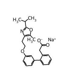 Cc1oc(C(C)C)nc1CCOc1cccc(-c2ccccc2CC(=O)[O-])c1.[Na+]